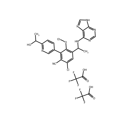 CCOc1c(C(C)Nc2ncnc3[nH]cnc23)cc(Cl)c(C#N)c1-c1ccc(C(C)O)nc1.O=C(O)C(F)(F)F.O=C(O)C(F)(F)F